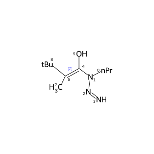 CCCN(N=N)/C(O)=C(\C)C(C)(C)C